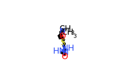 CN(C)Cc1ccc(CSCCNC2=NC(=O)CN2)o1